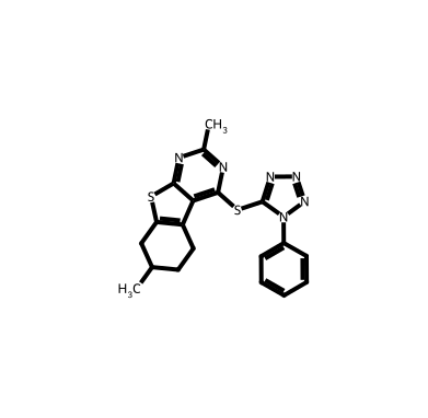 Cc1nc(Sc2nnnn2-c2ccccc2)c2c3c(sc2n1)CC(C)CC3